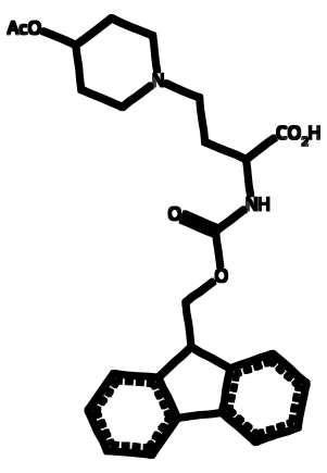 CC(=O)OC1CCN(CCC(NC(=O)OCC2c3ccccc3-c3ccccc32)C(=O)O)CC1